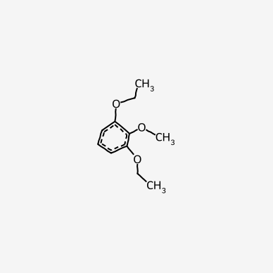 CCOc1cccc(OCC)c1OC